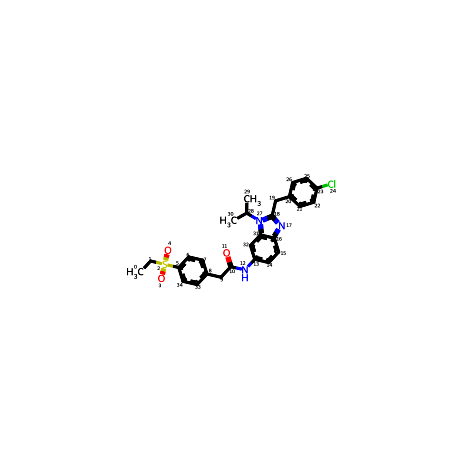 CCS(=O)(=O)c1ccc(CC(=O)Nc2ccc3nc(Cc4ccc(Cl)cc4)n(C(C)C)c3c2)cc1